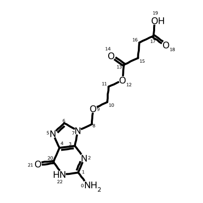 Nc1nc2c(ncn2COCCOC(=O)CCC(=O)O)c(=O)[nH]1